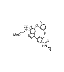 COCCN(C(=O)O)c1cc(Oc2cc(F)ccc2C)cn2c(-c3ccc(C(=O)NC4CC4)c(C)c3)cnc12